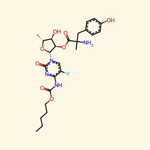 CCCCCOC(=O)Nc1nc(=O)n([C@@H]2O[C@H](C)[C@@H](O)[C@H]2OC(=O)C(C)(N)Cc2ccc(O)cc2)cc1F